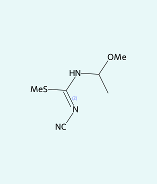 COC(C)N/C(=N/C#N)SC